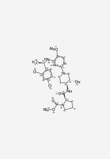 COc1cnc(N2CC[C@H](NC(=O)[C@H]3CCCN3C(=O)OC(C)(C)C)[C@@H](O)C2)nc1N[C@H](C)c1ccc(Cl)cc1Cl